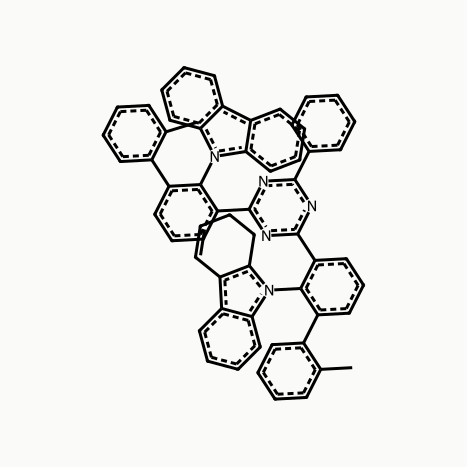 Cc1ccccc1-c1cccc(-c2nc(-c3ccccc3)nc(-c3cccc(-c4ccccc4C)c3-n3c4ccccc4c4ccccc43)n2)c1-n1c2c(c3ccccc31)C=CCC2